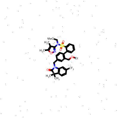 CCOCc1cc(CN2C(=O)C(C)(C)c3ccc(C(F)(F)F)cc32)ccc1-c1ccccc1S(=O)(=O)N(COC)c1noc(C)c1C